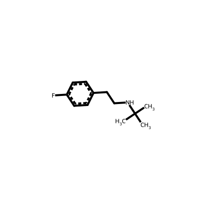 CC(C)(C)NCCc1ccc(F)cc1